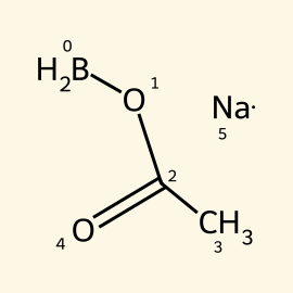 BOC(C)=O.[Na]